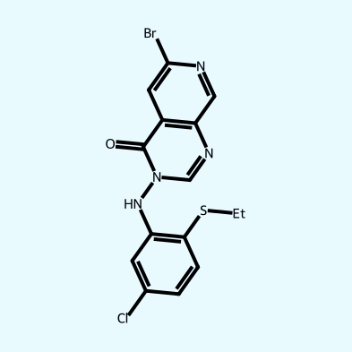 CCSc1ccc(Cl)cc1Nn1cnc2cnc(Br)cc2c1=O